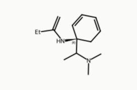 C=C(CC)N[C@@]1(C(C)N(C)C)C=CC=CC1